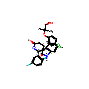 CC(C)(CO)Oc1ccc(Cl)cc1[C@H]1CC(=O)N[C@@H](c2cc(F)ccc2F)[C@]12C(=O)Nc1cc(Cl)ccc12